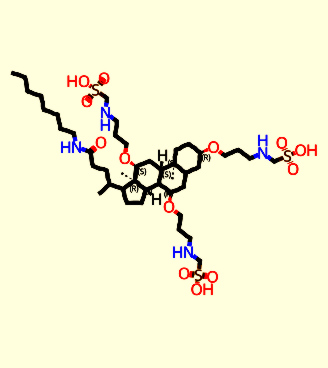 CCCCCCCCNC(=O)CCC(C)C1CC[C@H]2C3[C@H](OCCCNCS(=O)(=O)O)CC4C[C@H](OCCCNCS(=O)(=O)O)CC[C@]4(C)[C@H]3C[C@H](OCCCNCS(=O)(=O)O)[C@]12C